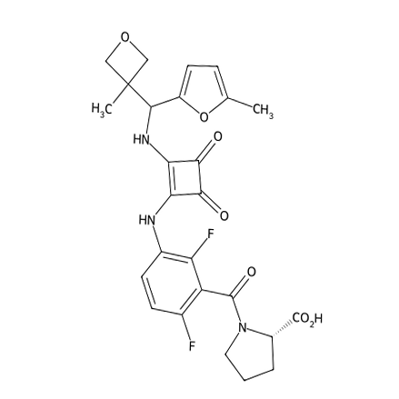 Cc1ccc(C(Nc2c(Nc3ccc(F)c(C(=O)N4CCC[C@H]4C(=O)O)c3F)c(=O)c2=O)C2(C)COC2)o1